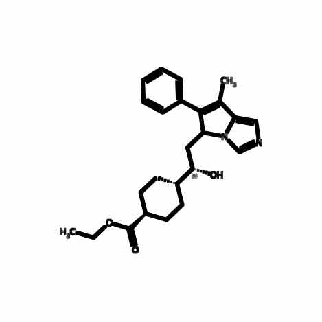 CCOC(=O)[C@H]1CC[C@H]([C@@H](O)CC2C(c3ccccc3)=C(C)c3cncn32)CC1